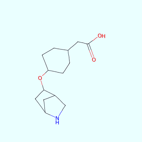 O=C(O)CC1CCC(OC2CC3CC2CN3)CC1